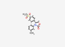 Cc1cccc(-n2c(-c3ccc(S(C)(=O)=O)cc3)coc2=O)c1